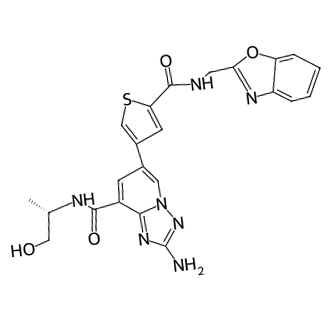 C[C@@H](CO)NC(=O)c1cc(-c2csc(C(=O)NCc3nc4ccccc4o3)c2)cn2nc(N)nc12